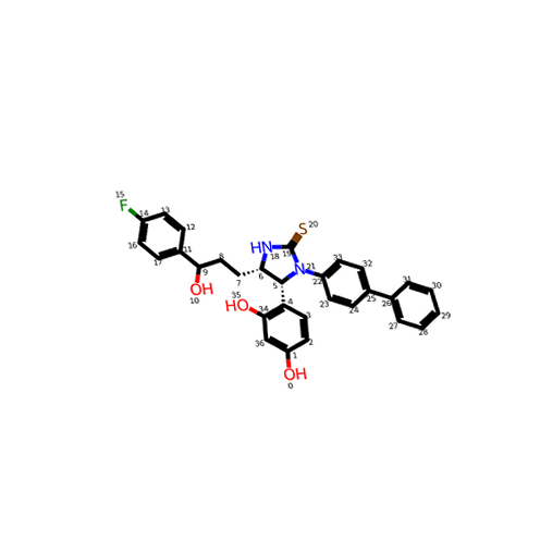 Oc1ccc([C@@H]2[C@H](CCC(O)c3ccc(F)cc3)NC(=S)N2c2ccc(-c3ccccc3)cc2)c(O)c1